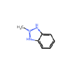 CN1Nc2ccccc2N1